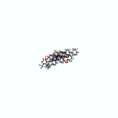 CC(C)(C)c1ccc2c(c1)C1(c3cc(C(C)(C)C)ccc3O2)c2ccccc2-c2ccc(N(c3ccc4c(c3)C3(c5ccccc5O4)c4cc(C5CCCCC5)ccc4-c4ccc(C5CCCCC5)cc43)c3cccc4sc5ccccc5c34)cc21